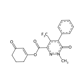 Cn1nc(C(=O)OC2=CC(=O)CCC2)c(C(F)(F)F)c(-c2ccccc2)c1=O